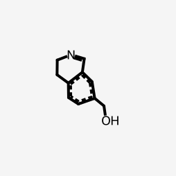 OCc1ccc2c(c1)C=NCC2